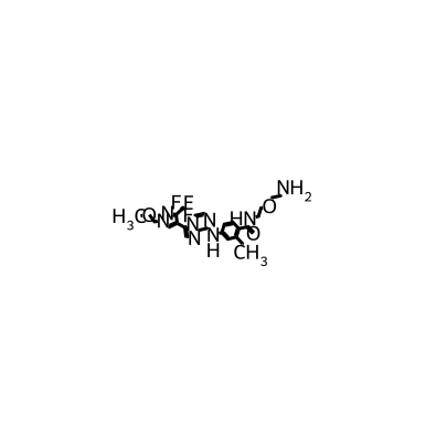 CCc1cc(Nc2nccn3c(-c4cn(COC)nc4C(F)(F)F)cnc23)ccc1C(=O)NCCOCCN